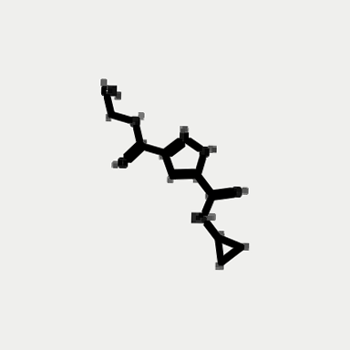 CCOC(=O)c1cc(C(=O)NC2CC2)on1